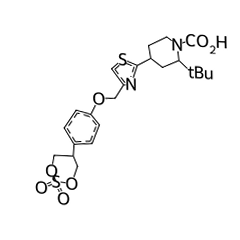 CC(C)(C)C1CC(c2nc(COc3ccc(C4COS(=O)(=O)OC4)cc3)cs2)CCN1C(=O)O